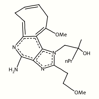 CCCC(C)(O)Cn1c(CCOC)nc2c(N)nc3/c(c21)=C(/OC)C/C=C\C/C=3